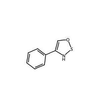 C1=C(c2ccccc2)NSO1